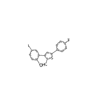 Cc1ccc(I)cc1-c1cc(-c2ccc(F)cc2)sc1C=O